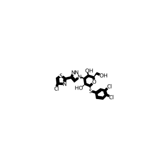 OC[C@H]1O[C@H](Sc2ccc(Cl)c(Cl)c2)[C@H](O)[C@@H](n2cc(-c3nc(Cl)cs3)nn2)[C@H]1O